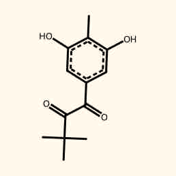 Cc1c(O)cc(C(=O)C(=O)C(C)(C)C)cc1O